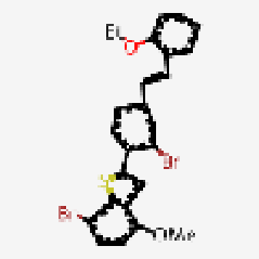 CCOc1ccccc1C=Cc1ccc(-c2cc3c(OC)ccc(Br)c3s2)c(Br)c1